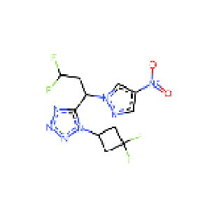 O=[N+]([O-])c1cnn(C(CC(F)F)c2nnnn2C2CC(F)(F)C2)c1